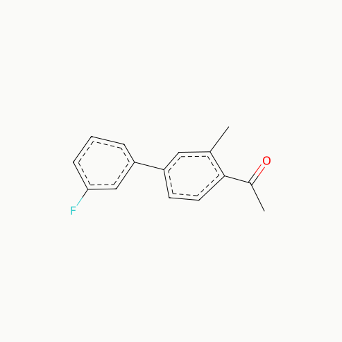 CC(=O)c1ccc(-c2cccc(F)c2)cc1C